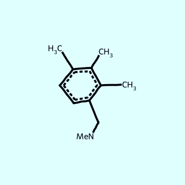 CNCc1ccc(C)c(C)c1C